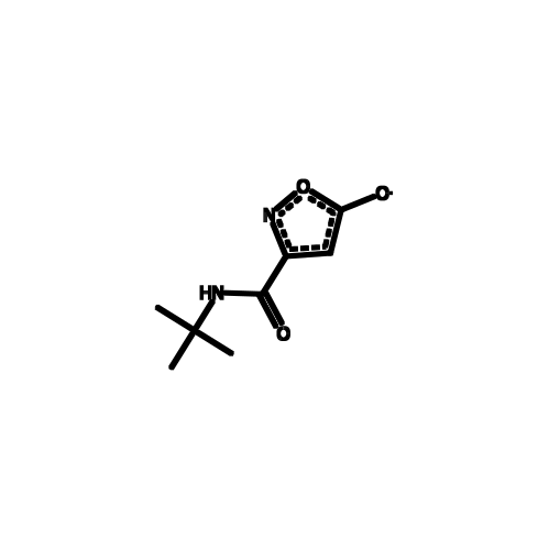 CC(C)(C)NC(=O)c1cc([O])on1